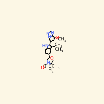 COc1cc(-c2[nH]c3ccc(C4CN(C5COC5)C(C)(C)CO4)cc3c2C(C)C)cn2ncnc12